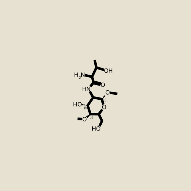 CO[C@@H]1OC(CO)[C@@H](OC)[C@H](O)C1NC(=O)C(N)C(C)O